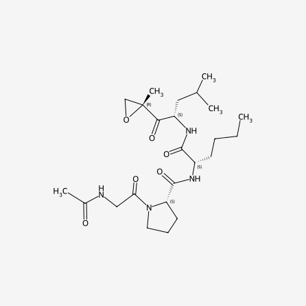 CCCC[C@H](NC(=O)[C@@H]1CCCN1C(=O)CNC(C)=O)C(=O)N[C@@H](CC(C)C)C(=O)[C@@]1(C)CO1